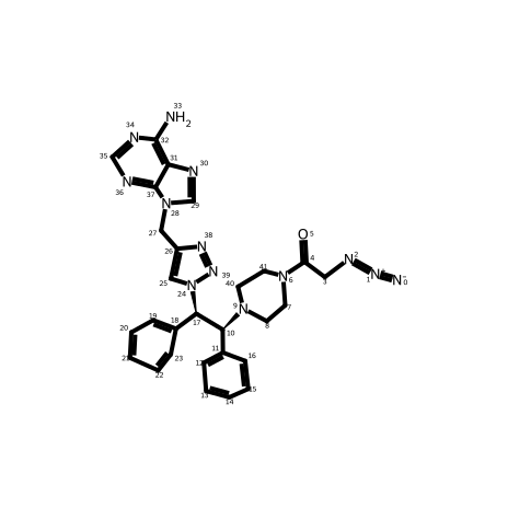 [N-]=[N+]=NCC(=O)N1CCN([C@@H](c2ccccc2)[C@@H](c2ccccc2)n2cc(Cn3cnc4c(N)ncnc43)nn2)CC1